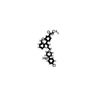 COC(=O)c1ccc2c(c1)OCc1ccccc1C2=CCCN1CCC(O)(c2ccc(Cl)cc2)CC1